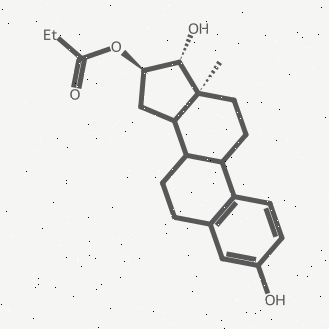 CCC(=O)O[C@@H]1CC2C3CCc4cc(O)ccc4C3CC[C@]2(C)[C@H]1O